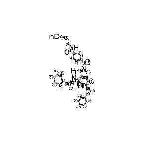 CCCCCCCCCCCCNC(=O)c1ccc(C(=O)N2C[C@@H](C(=O)N[C@H]3C[C@@H]3c3ccccc3)[C@H](C(=O)N[C@H]3C[C@@H]3c3ccccc3)C2)cc1